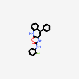 O=C(Nc1ccccc1F)NC1C=C(c2ccccc2)c2ccccc2NC1=O